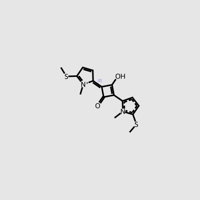 CSC1=[N+](C)/C(=C2\C(=O)C(c3ccc(SC)n3C)=C2O)C=C1